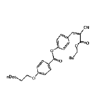 CCCCCCCCCCCCOc1ccc(C(=O)Oc2ccc(C=C(C#N)C(=O)OCC(C)CC)cc2)cc1